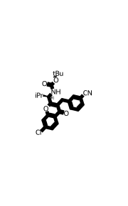 CC(C)[C@@H](NC(=O)OC(C)(C)C)c1oc2cc(Cl)ccc2c(=O)c1Cc1cccc(C#N)c1